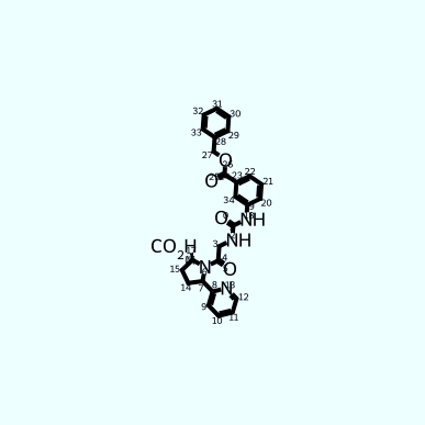 O=C(NCC(=O)N1C(c2ccccn2)CC[C@H]1C(=O)O)Nc1cccc(C(=O)OCc2ccccc2)c1